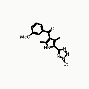 CCn1nnc(-c2[nH]c(C)c(C(=O)c3cccc(OC)c3)c2C)n1